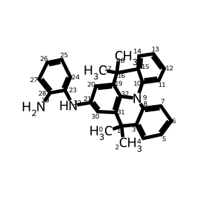 CC1(C)c2ccccc2N2c3ccccc3C(C)(C)c3cc(Nc4ccccc4N)cc1c32